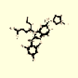 CCC[C@H](CCC(N)=O)n1c(Nc2c(F)cc(Cl)cc2F)nc2cnc(N[C@@H]3CC[C@@H](O)C3)nc21